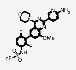 CCCS(=O)(=O)Nc1ccc(F)c(-c2cc(OC)c3nc(-c4ccc(N)nc4)nc(N4CCOCC4)c3c2)c1F